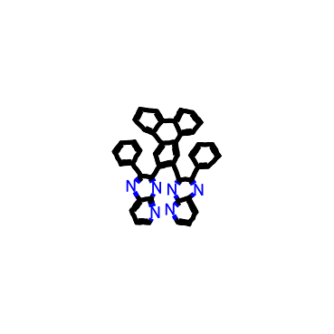 c1ccc(-c2nc3cccnc3nc2-c2cc3c4ccccc4c4ccccc4c3cc2-c2nc3ncccc3nc2-c2ccccc2)cc1